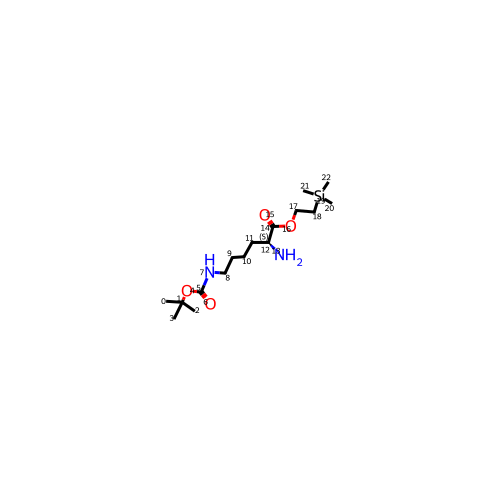 CC(C)(C)OC(=O)NCCCC[C@H](N)C(=O)OCC[Si](C)(C)C